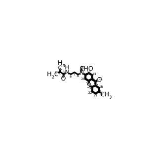 C=C(C)C(=O)NCCCN(C=O)c1ccc2c(=O)c3cc(C)ccc3sc2c1